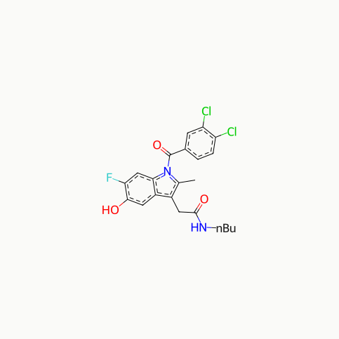 CCCCNC(=O)Cc1c(C)n(C(=O)c2ccc(Cl)c(Cl)c2)c2cc(F)c(O)cc12